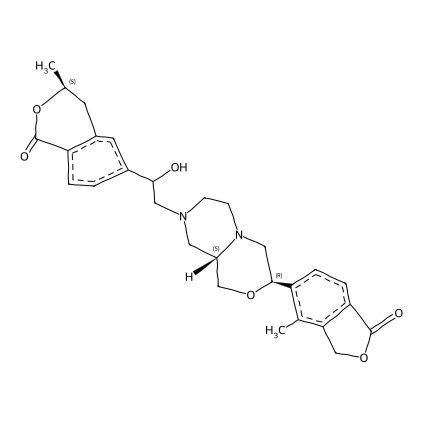 Cc1c([C@@H]2CN3CCN(CC(O)c4ccc5c(c4)C[C@H](C)OC5=O)C[C@H]3CO2)ccc2c1COC2=O